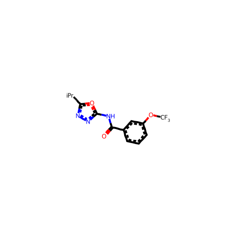 CC(C)c1nnc(NC(=O)c2cccc(OC(F)(F)F)c2)o1